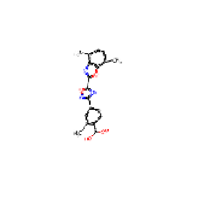 Cc1cc(-c2noc(-c3nc4c(C)ccc(C)c4o3)n2)ccc1C(O)O